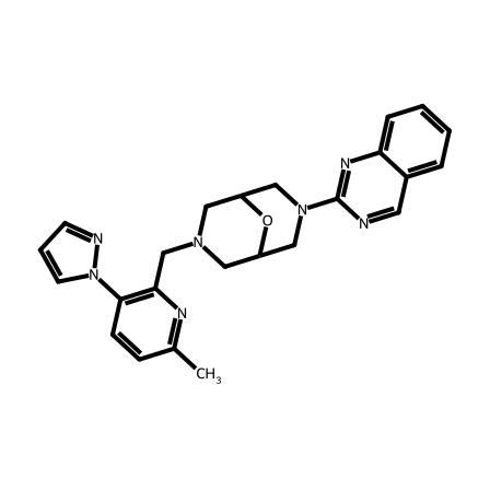 Cc1ccc(-n2cccn2)c(CN2CC3CN(c4ncc5ccccc5n4)CC(C2)O3)n1